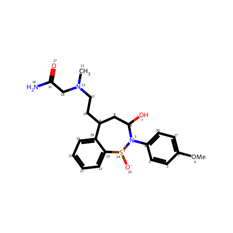 COc1ccc(N2C(O)CC(CCN(C)CC(N)=O)c3ccccc3[S+]2[O-])cc1